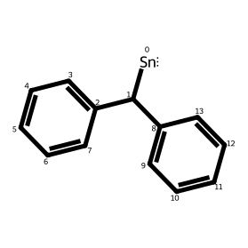 [Sn][CH](c1ccccc1)c1ccccc1